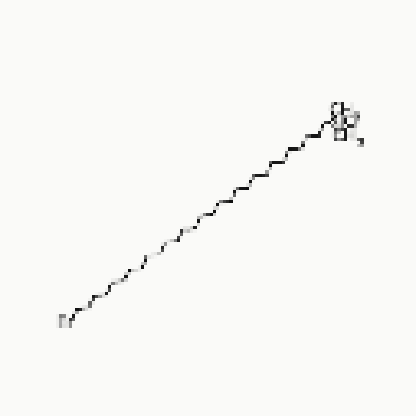 C[Si](C)(Cl)CCCCCCCCCCCCCCCCCCCCCCCCCCCCCBr